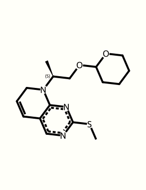 CSc1ncc2c(n1)N([C@@H](C)COC1CCCCO1)CC=C2